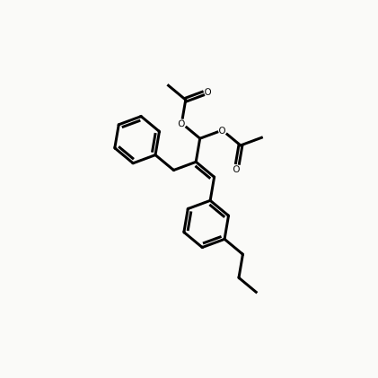 CCCc1cccc(/C=C(\Cc2ccccc2)C(OC(C)=O)OC(C)=O)c1